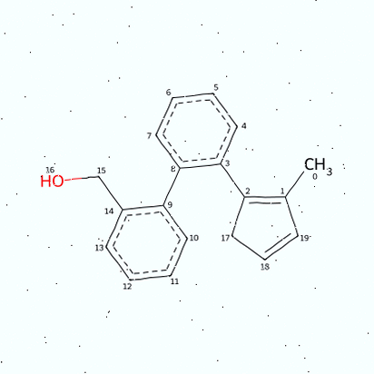 CC1=C(c2ccccc2-c2ccccc2CO)CC=C1